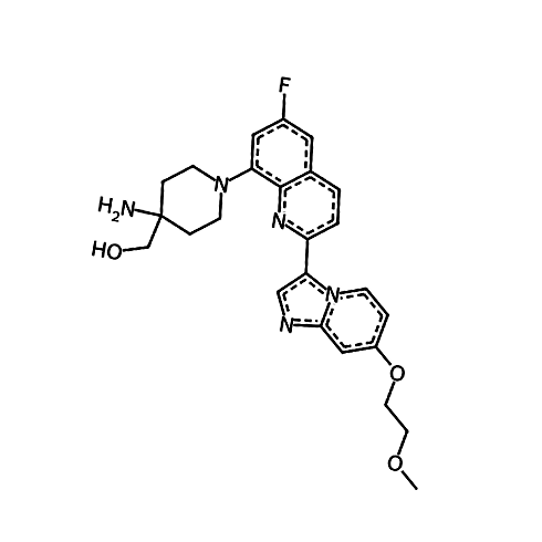 COCCOc1ccn2c(-c3ccc4cc(F)cc(N5CCC(N)(CO)CC5)c4n3)cnc2c1